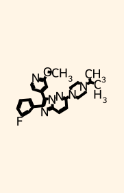 COc1cc(-c2c(-c3cccc(F)c3)nc3ccc(N4CCN(C(C)C)CC4)nn23)ccn1